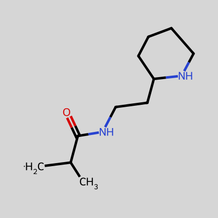 [CH2]C(C)C(=O)NCCC1CCCCN1